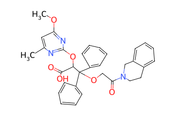 COc1cc(C)nc(OC(C(=O)O)C(OCC(=O)N2CCc3ccccc3C2)(c2ccccc2)c2ccccc2)n1